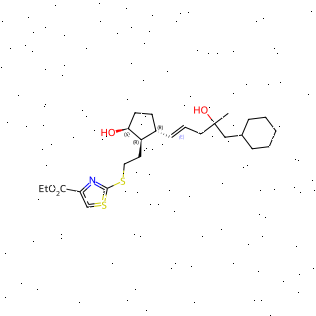 CCOC(=O)c1csc(SCC[C@H]2[C@@H](O)CC[C@@H]2/C=C/CC(C)(O)CC2CCCCC2)n1